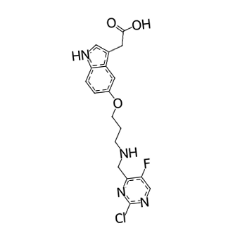 O=C(O)Cc1c[nH]c2ccc(OCCCNCc3nc(Cl)ncc3F)cc12